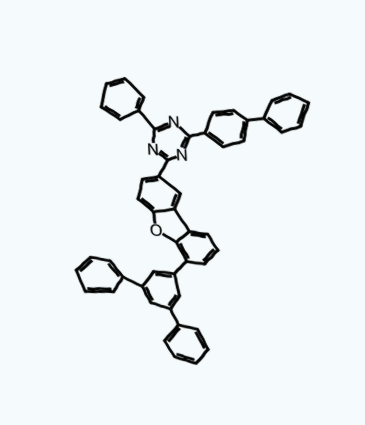 c1ccc(-c2ccc(-c3nc(-c4ccccc4)nc(-c4ccc5oc6c(-c7cc(-c8ccccc8)cc(-c8ccccc8)c7)cccc6c5c4)n3)cc2)cc1